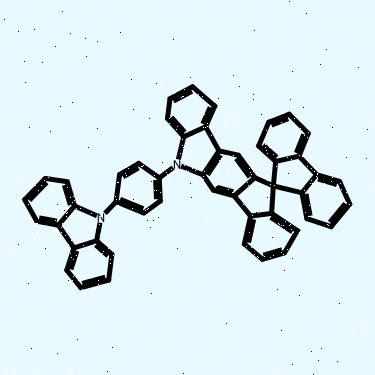 c1ccc2c(c1)-c1ccccc1C21c2ccccc2-c2cc3c(cc21)c1ccccc1n3-c1ccc(-n2c3ccccc3c3ccccc32)cc1